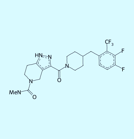 CNC(=O)N1CCc2[nH]nc(C(=O)N3CCC(Cc4ccc(F)c(F)c4C(F)(F)F)CC3)c2C1